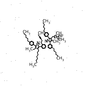 CCC#CCCc1ccccc1C1=C(CCCCCCCC)C(CC)=C(c2ccc(CCCCCC)cc2)[N+]1=[N-].CCCCCCc1ccc(C2=C(CC)C(C)=C(c3cccc(CCCCCC)c3)[N+]2=[N-])cc1.C[CH2][Pd][CH2]C.[Ni]